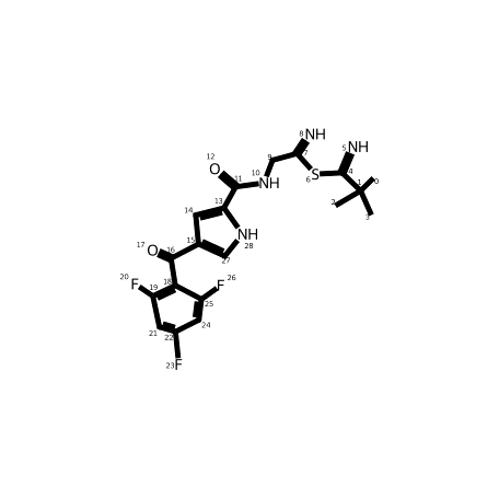 CC(C)(C)C(=N)SC(=N)CNC(=O)c1cc(C(=O)c2c(F)cc(F)cc2F)c[nH]1